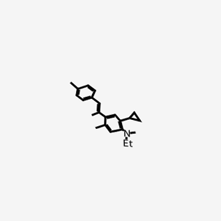 CCN(C)c1cc(C)c(/C(C)=C/c2ccc(C)cc2)cc1C1CC1